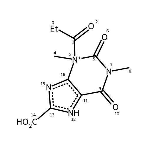 CCC(=O)[N+]1(C)C(=O)N(C)C(=O)c2[nH]c(C(=O)O)nc21